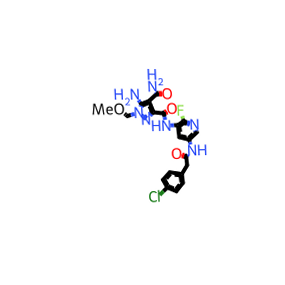 COCn1nc(C(=O)Nc2cc(NC(=O)Cc3ccc(Cl)cc3)cnc2F)c(C(N)=O)c1N